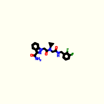 NC(=O)c1nn(CC(=O)N(CC(=O)NCc2cccc(F)c2F)C2CC2)c2ccccc12